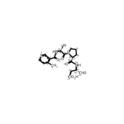 Cc1ccncc1C(=O)N[C@H](C(=O)N1CCC[C@H]1C(=O)N[C@H](C=O)CC(=O)O)C(C)C